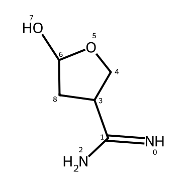 N=C(N)C1COC(O)C1